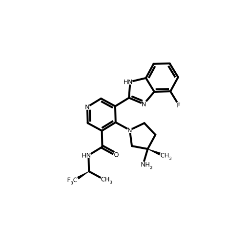 C[C@H](NC(=O)c1cncc(-c2nc3c(F)cccc3[nH]2)c1N1CC[C@](C)(N)C1)C(F)(F)F